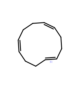 C1=CCC/C=C/CCC=CCC1